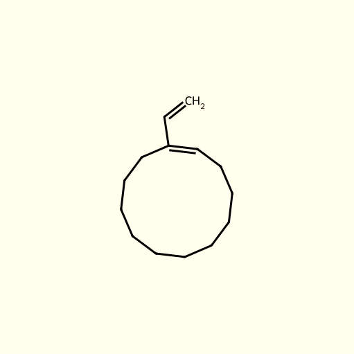 C=CC1=CCCCCCCCCCC1